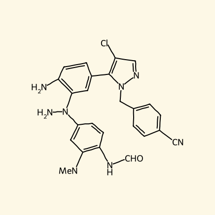 CNc1cc(N(N)c2cc(-c3c(Cl)cnn3Cc3ccc(C#N)cc3)ccc2N)ccc1NC=O